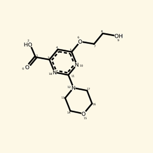 O=C(O)c1cc(OCCO)nc(N2CCOCC2)n1